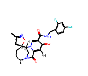 [2H]c1c2n(cc(C(=O)NCc3ccc(F)cc3F)c1=O)[C@@H]1CN(C2=O)[C@@H](C)CC[C@]12CC(C)=NO2